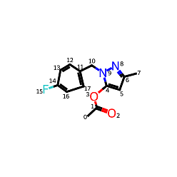 CC(=O)Oc1cc(C)nn1Cc1ccc(F)cc1